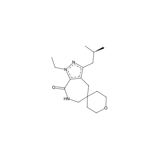 [CH2][C@H](C)Cc1nn(CC)c2c1CC1(CCOCC1)CNC2=O